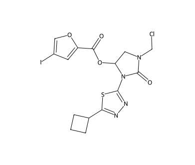 O=C(OC1CN(CCl)C(=O)N1c1nnc(C2CCC2)s1)c1cc(I)co1